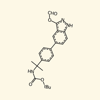 CC(C)(C)OC(=O)NC(C)(C)c1ccc(-c2ccc3[nH]nc(OC=O)c3c2)cc1